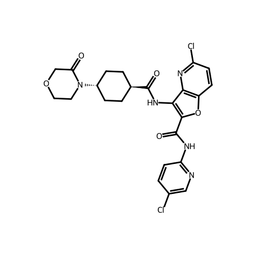 O=C(Nc1ccc(Cl)cn1)c1oc2ccc(Cl)nc2c1NC(=O)[C@H]1CC[C@H](N2CCOCC2=O)CC1